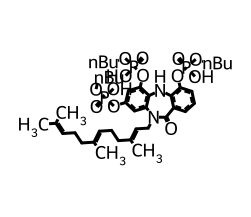 CCCCOP(=O)(O)Oc1cc(OP(=O)(O)OCCCC)c2c(c1)N(C/C=C(\C)CC/C=C(\C)CCC=C(C)C)C(=O)c1cccc(OP(=O)(O)OCCCC)c1N2